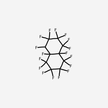 F[C]1C(F)(F)C(F)(F)C(F)(F)C2(F)C(F)(F)C(F)(F)C(F)(F)C(F)(F)C12F